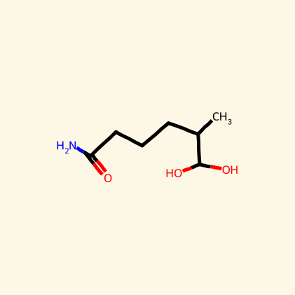 CC(CCCC(N)=O)C(O)O